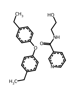 CCc1ccc(Oc2ccc(CC)cc2)cc1.O=C(NCCO)c1cccnc1